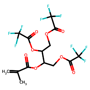 C=C(C)C(=O)OC(COC(=O)C(F)(F)F)C(COC(=O)C(F)(F)F)OC(=O)C(F)(F)F